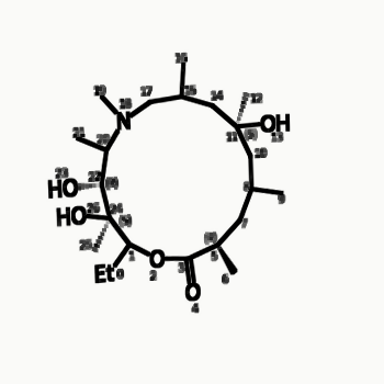 CCC1OC(=O)[C@H](C)CC(C)C[C@](C)(O)CC(C)CN(C)C(C)[C@@H](O)[C@]1(C)O